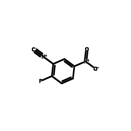 [C-]#[N+]c1cc([N+](=O)[O-])ccc1F